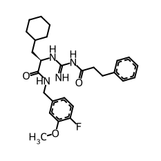 COc1cc(CNC(=O)[C@@H](CC2CCCCC2)NC(=N)NC(=O)CCc2ccccc2)ccc1F